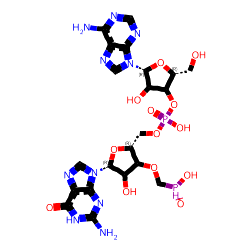 Nc1nc2c(ncn2[C@@H]2O[C@H](COP(=O)(O)OC3C(O)[C@H](n4cnc5c(N)ncnc54)O[C@@H]3CO)C(OC[PH](=O)O)C2O)c(=O)[nH]1